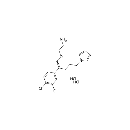 Cl.Cl.NCCON=C(CCCn1ccnc1)c1ccc(Cl)c(Cl)c1